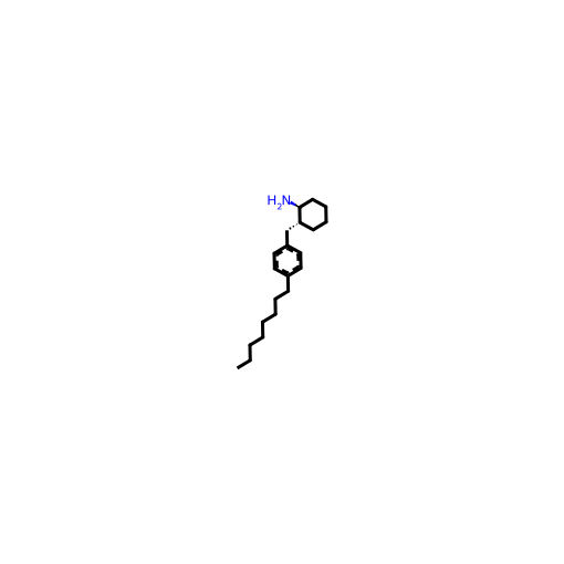 CCCCCCCCc1ccc(C[C@H]2CCCC[C@@H]2N)cc1